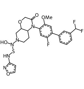 COc1cc(-c2cccc(C(F)F)c2)c(F)cc1N1C(=O)COC2CN(N(O)SNc3ccon3)CCC21